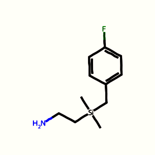 C[Si](C)(CCN)Cc1ccc(F)cc1